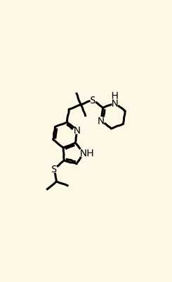 CC(C)Sc1c[nH]c2nc(CC(C)(C)SC3=NCCCN3)ccc12